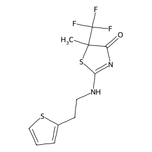 CC1(C(F)(F)F)SC(NCCc2cccs2)=NC1=O